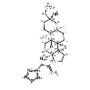 C=C(Cn1ncnn1)[C@H]1CC[C@H]2[C@@H]3CC[C@@H]4C[C@@](O)(COC)CC[C@@H]4[C@H]3CC[C@]12C